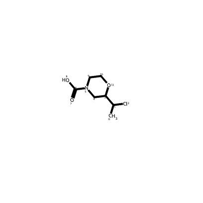 CC(Cl)C1CN(C(=O)O)CCO1